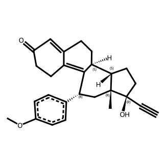 C#C[C@@]1(O)CC[C@H]2[C@@H]3CCC4=CC(=O)CCC4=C3[C@@H](c3ccc(OC)cc3)C[C@]21C